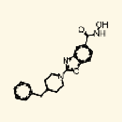 O=C(NO)c1ccc2oc(N3CCC(Cc4ccccc4)CC3)nc2c1